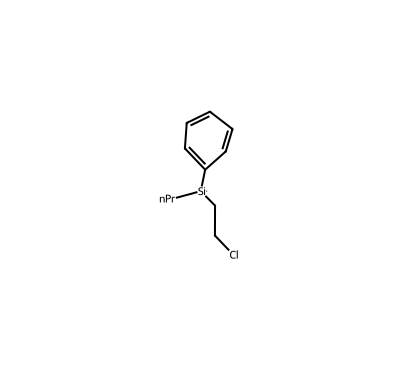 CCC[Si](CCCl)c1ccccc1